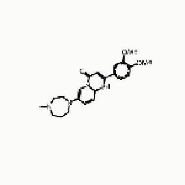 COc1ccc(C2=CC(=O)N3C=C(N4CCCN(C)CC4)C=CC3P2)cc1OC